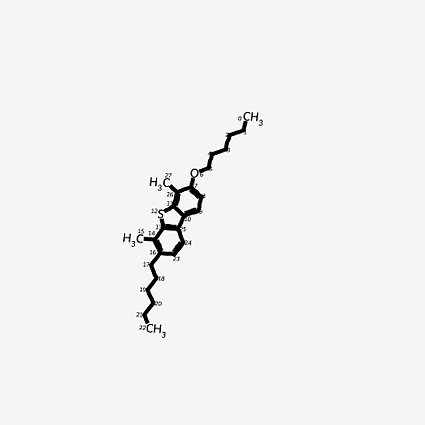 CCCCCCOc1ccc2c(sc3c(C)c(CCCCCC)ccc32)c1C